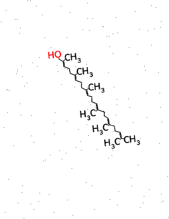 CC(C)=CCC/C(C)=C/CC/C(C)=C/CC/C=C(\C)CC/C=C(\C)CC/C=C(\C)CO